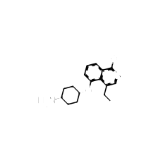 CCc1cnc(O)c2cccc(O[C@H]3CC[C@H](N)CC3)c12